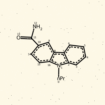 CCCn1c2ccccc2c2cc(C(N)=O)ccc21